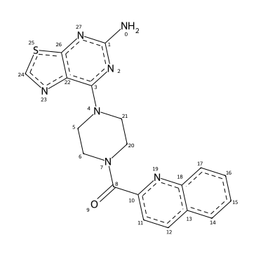 Nc1nc(N2CCN(C(=O)c3ccc4ccccc4n3)CC2)c2ncsc2n1